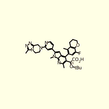 Cc1nc2c(cc(-c3ccnc(N4CCn5c(C)nnc5C4)c3)n2C)c(-c2cc(F)c3c(c2C)CCCO3)c1[C@H](OC(C)(C)C)C(=O)O